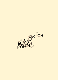 CCC(CC)(c1ccc(C#CCCC(=O)O)c(C)c1)c1ccc(C=CC(O)(C(F)(F)F)C(F)(F)F)c(C)c1